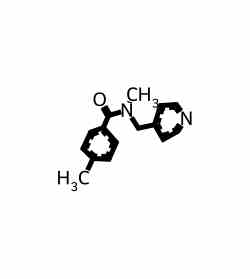 Cc1ccc(C(=O)N(C)Cc2ccncc2)cc1